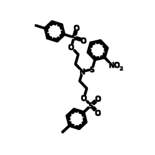 Cc1ccc(S(=O)(=O)OCCN(CCOS(=O)(=O)c2ccc(C)cc2)Sc2ccccc2[N+](=O)[O-])cc1